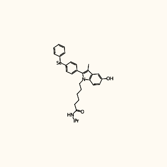 Cc1c(-c2ccc([Se]c3ccccc3)cc2)n(CCCCCC(=O)NC(C)C)c2ccc(O)cc12